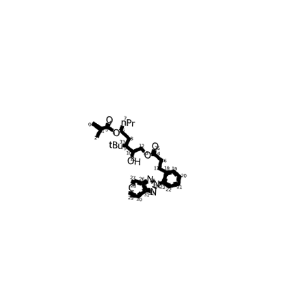 C=C(C)C(=O)OC(CCC)CC(C(O)COC(=O)CCc1ccccc1-n1nc2ccccc2n1)C(C)(C)C